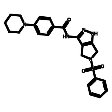 O=C(Nc1n[nH]c2c1CN(S(=O)(=O)c1ccccc1)C2)c1ccc(N2CCCCC2)cc1